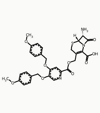 COc1ccc(COc2cnc(C(=O)OCC3=C(C(=O)O)N4C(=O)[C@@H](N)[C@H]4SC3)cc2OCc2ccc(OC)cc2)cc1